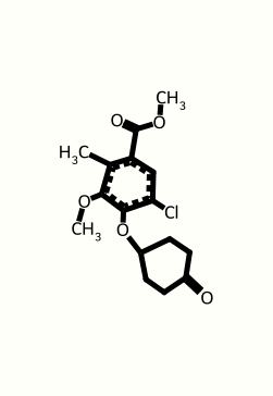 COC(=O)c1cc(Cl)c(OC2CCC(=O)CC2)c(OC)c1C